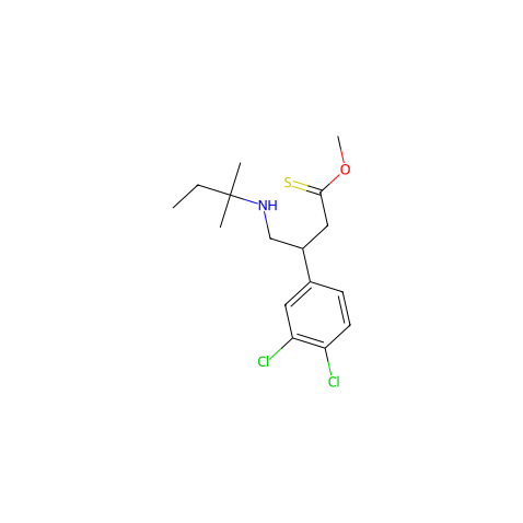 CCC(C)(C)NCC(CC(=S)OC)c1ccc(Cl)c(Cl)c1